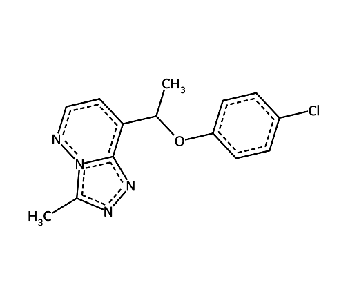 Cc1nnc2c(C(C)Oc3ccc(Cl)cc3)ccnn12